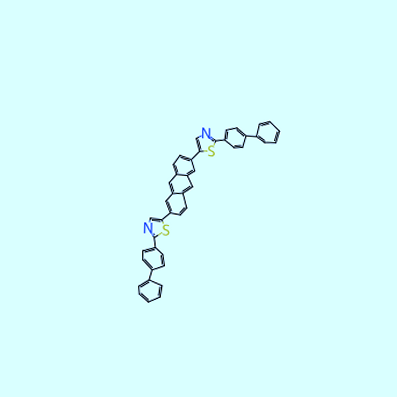 c1ccc(-c2ccc(-c3ncc(-c4ccc5cc6cc(-c7cnc(-c8ccc(-c9ccccc9)cc8)s7)ccc6cc5c4)s3)cc2)cc1